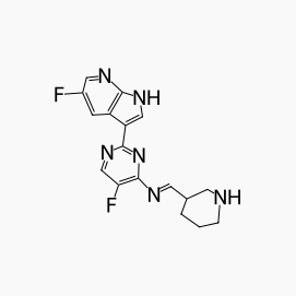 Fc1cnc2[nH]cc(-c3ncc(F)c(N=CC4CCCNC4)n3)c2c1